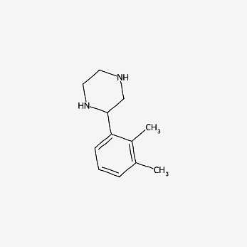 Cc1cccc(C2CNCCN2)c1C